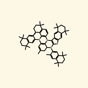 CC1=CC2=C3B(c4ccc5c6c4N2c2cc4c(cc2C6(C)CCC5(C)C)C(C)(C)CCC4(C)C)c2c(sc4cc5c(cc24)C(C)(C)CCC5(C)C)N(c2cc4c(cc2C)C(C)(C)CCC4(C)C)C3C1